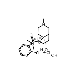 CN1CC2CC[C@H](N(C)C)C(C1)[C@@H]2OC(=O)c1ccccc1Cl.Cl.Cl.O